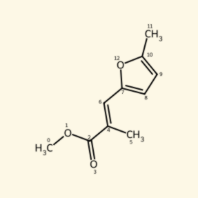 COC(=O)/C(C)=C/c1ccc(C)o1